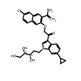 C=C(N)c1cc2cc(Cl)ccc2cc1OCC(=O)c1cn(CC[C@@H](O)[C@H](O)CO)c2cc(C3CC3)ccc12